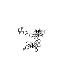 [2H]C([2H])(Sc1nc(=O)c2c(n1CC(=O)N(CCN(C([2H])([2H])C)C([2H])([2H])C)C([2H])(C)c1ccc(-c3ccc(C(F)(F)F)cc3)cc1)CCC2)c1ccc(F)cc1